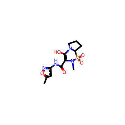 Cc1cc(NC(=O)C2=C(O)N3CCCC3S(=O)(=O)N2C)no1